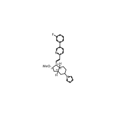 CO[C@H]1C[C@H]2CC(n3cccc3)CC[C@H]2[C@@H]1C=Cc1ccc(-c2cccc(F)c2)cn1